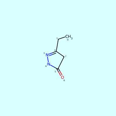 CCC1=N[N]C(=O)C1